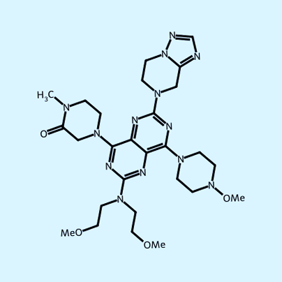 COCCN(CCOC)c1nc(N2CCN(C)C(=O)C2)c2nc(N3CCn4ncnc4C3)nc(N3CCN(OC)CC3)c2n1